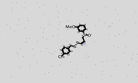 COc1cccc([S+]([O-])C/C=C\SSCc2ccc(Cl)cc2)c1